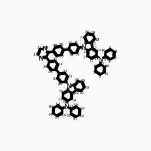 c1ccc(N(c2ccccc2)c2ccc3c(c2)c2ccccc2n3-c2ccc(-c3ccc(-c4nccnc4-c4ccc(-c5ccc(-n6c7ccccc7c7cc(N(c8ccccc8)c8ccccc8)ccc76)cc5)cc4)cc3)cc2)cc1